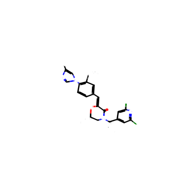 COc1cc(C=C2O[C@@H](C)CN([C@@H](C)c3cc(F)nc(F)c3)C2=O)ccc1-n1cnc(C)c1